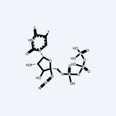 [N-]=[N+]=N[C@]1(COP(=O)(O)OP(=O)(O)OP(=O)(O)O)O[C@@H](n2cc(F)c(=S)[nH]c2=O)[C@@H](O)C1O